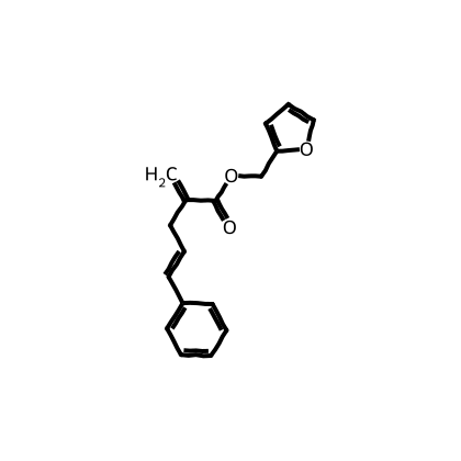 C=C(CC=Cc1ccccc1)C(=O)OCc1ccco1